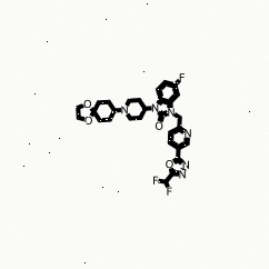 O=c1n(Cc2ccc(-c3nnc(C(F)F)o3)cn2)c2cc(F)ccc2n1C1CCN(C2CCC3(CC2)OCCO3)CC1